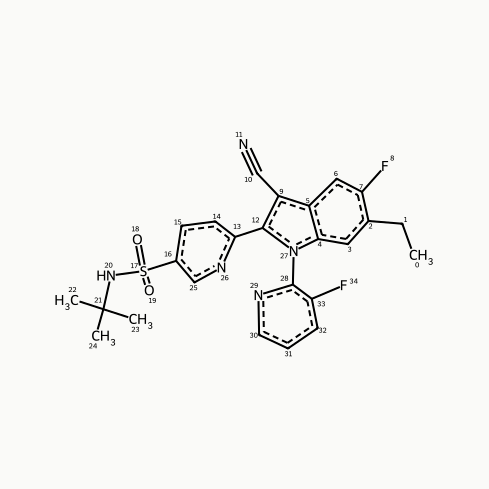 CCc1cc2c(cc1F)c(C#N)c(-c1ccc(S(=O)(=O)NC(C)(C)C)cn1)n2-c1ncccc1F